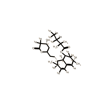 [2H]C1=C([2H])[C@]([2H])(C)[C@H](CCC2C[C@@H](O)C([2H])([2H])C(=O)O2)[C@@H]2C1=C([2H])[C@]([2H])(C)C([2H])([2H])C2OC(=O)C(C)(C)C([2H])([2H])C([2H])([2H])[2H]